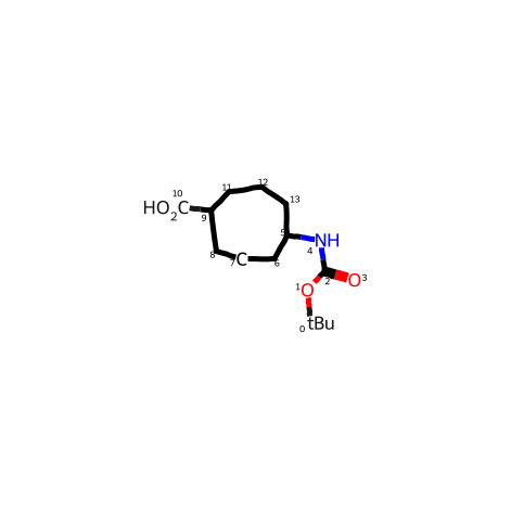 CC(C)(C)OC(=O)NC1CCCC(C(=O)O)CCC1